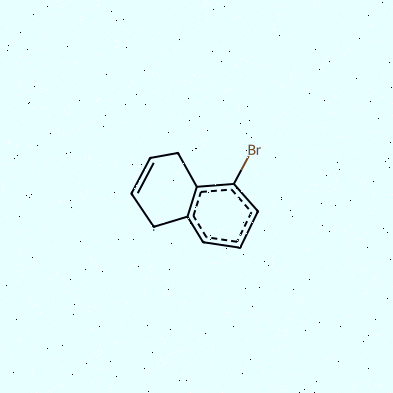 Brc1cccc2c1CC=C[CH]2